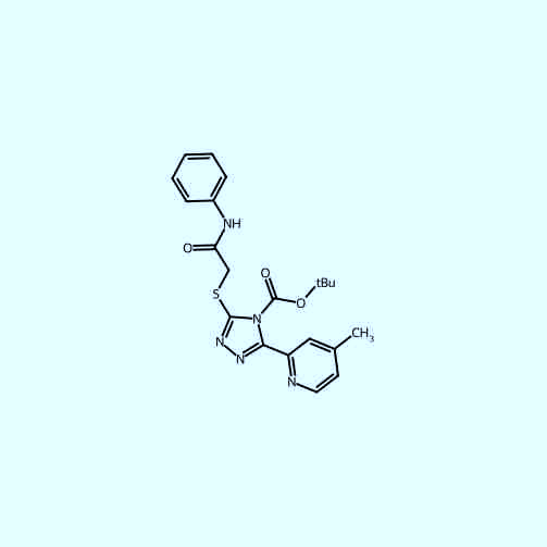 Cc1ccnc(-c2nnc(SCC(=O)Nc3ccccc3)n2C(=O)OC(C)(C)C)c1